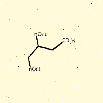 CCCCCCCCCC(CCCCCCCC)CC(=O)O